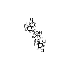 O=C1CCc2c(OCC3(O)CCN(c4c(F)cc(Cl)cc4Cl)CC3)ccc(F)c2N1